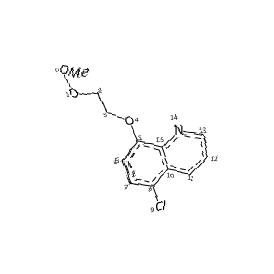 COOCCOc1ccc(Cl)c2cccnc12